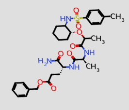 Cc1ccc(S(=O)(=O)N[C@@H]2CCCC[C@H]2OC(C)C(=O)N[C@@H](C)C(=O)N[C@H](CCC(=O)OCc2ccccc2)C(N)=O)cc1